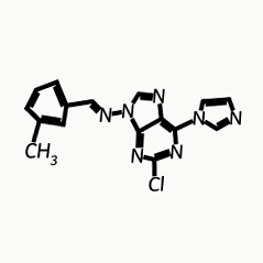 Cc1cccc(C=Nn2cnc3c(-n4ccnc4)nc(Cl)nc32)c1